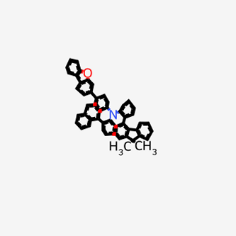 CC1(C)c2ccccc2-c2c(-c3ccccc3N(c3ccc(-c4ccc5c(c4)oc4ccccc45)cc3)c3ccccc3-c3cccc4ccccc34)cccc21